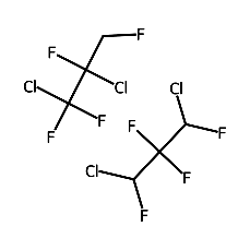 FC(Cl)C(F)(F)C(F)Cl.FCC(F)(Cl)C(F)(F)Cl